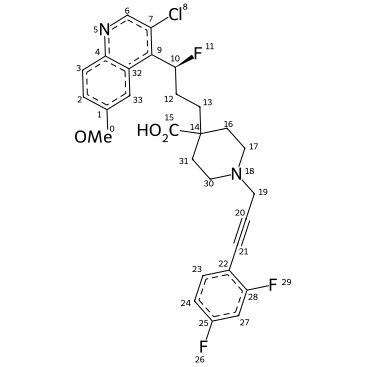 COc1ccc2ncc(Cl)c([C@@H](F)CCC3(C(=O)O)CCN(CC#Cc4ccc(F)cc4F)CC3)c2c1